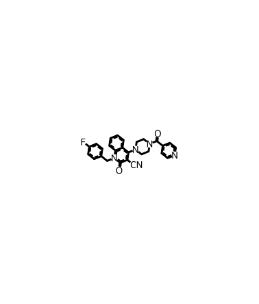 N#Cc1c(N2CCN(C(=O)c3ccncc3)CC2)c2ccccc2n(Cc2ccc(F)cc2)c1=O